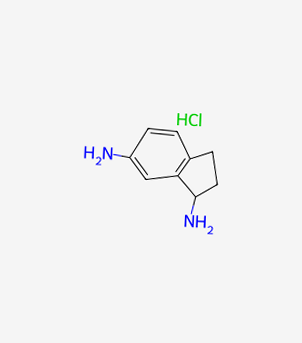 Cl.Nc1ccc2c(c1)C(N)CC2